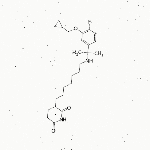 CC(C)(NCCCCCCCC1CCC(=O)NC1=O)c1ccc(F)c(OCC2CC2)c1